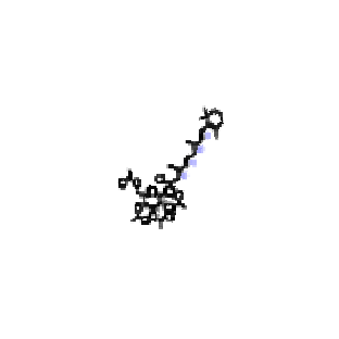 CC(=O)OC[C@H]1O[C@@H](OC(=O)/C=C(C)/C=C/C=C(C)/C=C/C2=C(C)CCCC2(C)C)[C@H](OC(C)=O)[C@@H](OC(C)=O)[C@@H]1OC(C)=O